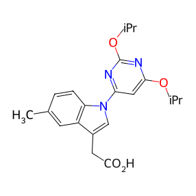 Cc1ccc2c(c1)c(CC(=O)O)cn2-c1cc(OC(C)C)nc(OC(C)C)n1